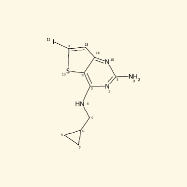 Nc1nc(NCC2CC2)c2sc(I)cc2n1